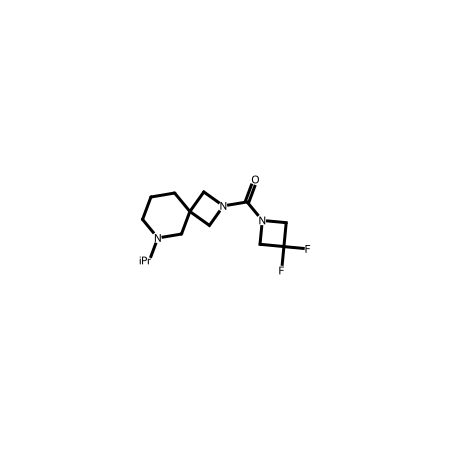 CC(C)N1CCCC2(CN(C(=O)N3CC(F)(F)C3)C2)C1